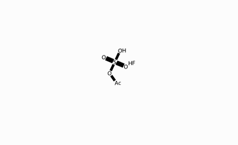 CC(=O)OS(=O)(=O)O.F